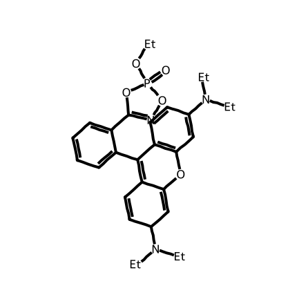 CCOP1(=O)ON=C(c2ccccc2C2=C3C=CC(N(CC)CC)C=C3Oc3cc(N(CC)CC)ccc32)O1